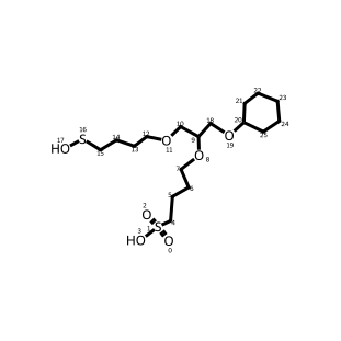 O=S(=O)(O)CCCCOC(COCCCCSO)COC1CCCCC1